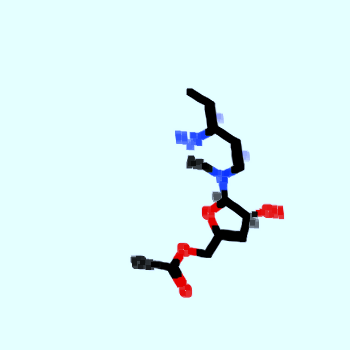 C/C=C(N)/C=C\N(C(C)=O)[C@@H]1OC(COC(=O)C(C)(C)C)=C[C@H]1O